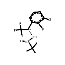 CC(C)(C)[S@@+]([O-])N[C@@H](c1cccc(Cl)c1F)C(F)(F)F